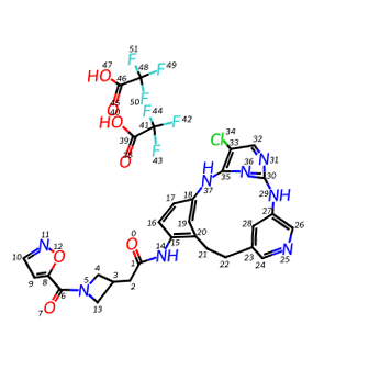 O=C(CC1CN(C(=O)c2ccno2)C1)Nc1ccc2cc1CCc1cncc(c1)Nc1ncc(Cl)c(n1)N2.O=C(O)C(F)(F)F.O=C(O)C(F)(F)F